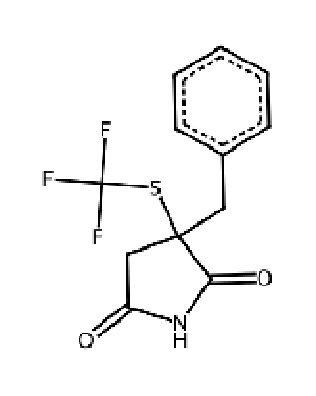 O=C1CC(Cc2ccccc2)(SC(F)(F)F)C(=O)N1